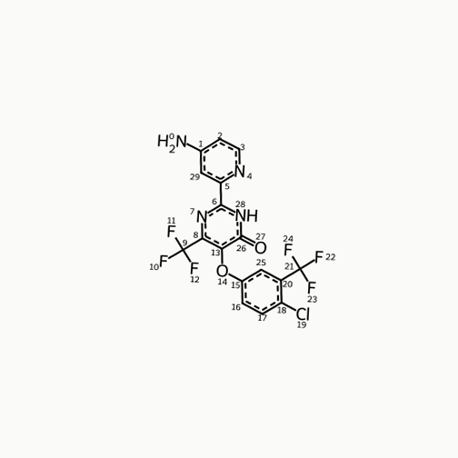 Nc1ccnc(-c2nc(C(F)(F)F)c(Oc3ccc(Cl)c(C(F)(F)F)c3)c(=O)[nH]2)c1